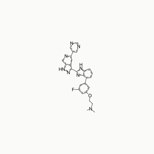 CN(C)CCOc1cc(F)cc(-c2cccc3[nH]c(-c4n[nH]c5cnc(-c6cncnc6)cc45)nc23)c1